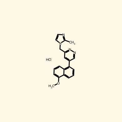 COc1cccc2c(-c3cnnc(Cn4ccnc4C)c3)cccc12.Cl